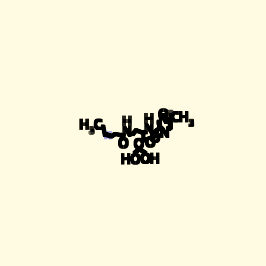 CC/C=C\CC(=O)NCCC(NC(=O)c1c[n+]([O-])c(C)cn1)C(=O)OC(CO)CO